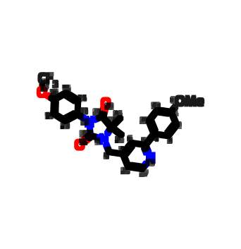 COc1ccc(-c2cc(CN3C(=O)N(c4ccc(OC(F)(F)F)cc4)C(=O)C3(C)C)ccn2)cc1